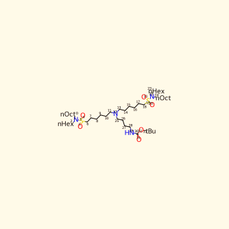 CCCCCCCCN(CCCCCC)S(=O)(=O)CCCCCCN(CCCCCCS(=O)(=O)N(CCCCCC)CCCCCCCC)CCCCNC(=O)OC(C)(C)C